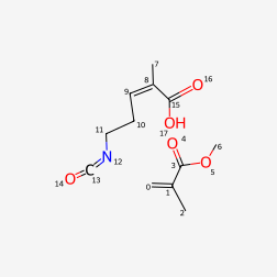 C=C(C)C(=O)OC.CC(=CCCN=C=O)C(=O)O